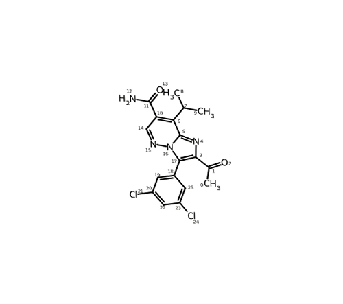 CC(=O)c1nc2c(C(C)C)c(C(N)=O)cnn2c1-c1cc(Cl)cc(Cl)c1